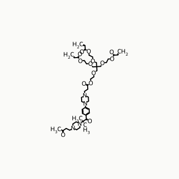 C=CC(=O)OCCOCC(COCCOC(=O)C=C)(COCCOC(=O)C=C)COCCOC(=O)CCN1CCN(c2ccc(C(=O)C(C)(C)N3CCN(CCC(C)=O)CC3)cc2)CC1